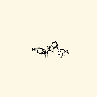 FC(F)(F)C1(COc2cccn3nc(NC4C5CCC4CNC5)nc23)CC1